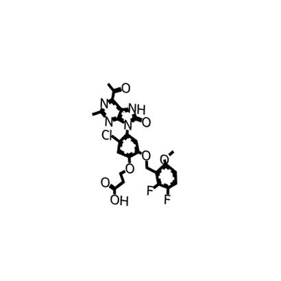 COc1ccc(F)c(F)c1COc1cc(-n2c(=O)[nH]c3c(C(C)=O)nc(C)nc32)c(Cl)cc1OCCC(=O)O